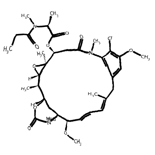 CCC(=O)N(C)[C@@H](C)C(=O)O[C@H]1CC(=O)N(C)c2cc(cc(OC)c2Cl)C/C(C)=C/C=C/[C@@H](OC)[C@@]2(O)C[C@H](OC(=O)N2)[C@@H](C)[C@@H]2O[C@@]12C